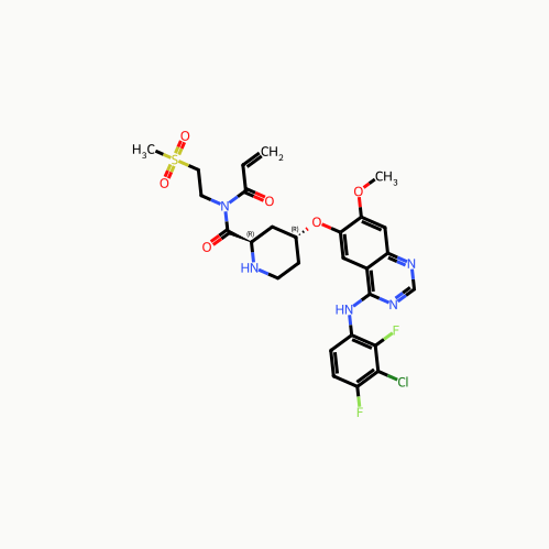 C=CC(=O)N(CCS(C)(=O)=O)C(=O)[C@H]1C[C@H](Oc2cc3c(Nc4ccc(F)c(Cl)c4F)ncnc3cc2OC)CCN1